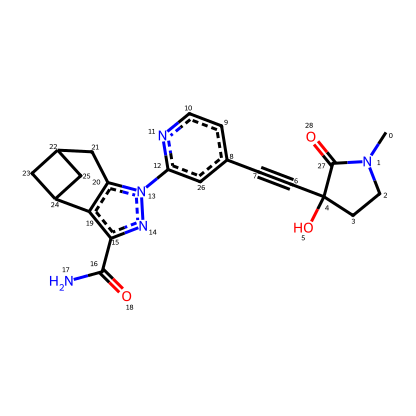 CN1CCC(O)(C#Cc2ccnc(-n3nc(C(N)=O)c4c3CC3CC4C3)c2)C1=O